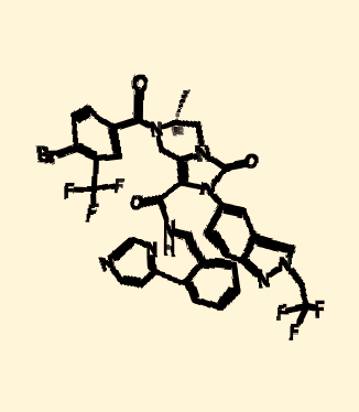 C[C@@H]1Cn2c(c(C(=O)NCc3ccccc3-c3ccncn3)n(-c3ccc4nn(CC(F)(F)F)cc4c3)c2=O)CN1C(=O)c1ccc(Br)c(C(F)(F)F)c1